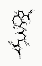 C#[N+]C(=O)[C@@H]1CC[C@@H]2CCNC[C@H](NC(=O)CN(C)Cc3oc(=O)oc3C)C(=O)N21